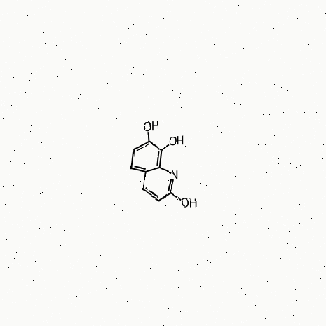 Oc1ccc2ccc(O)c(O)c2n1